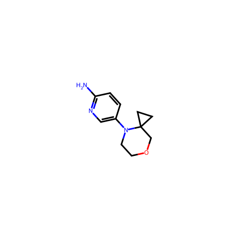 Nc1ccc(N2CCOCC23CC3)cn1